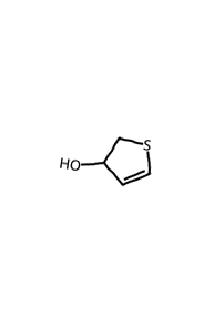 OC1C=CSC1